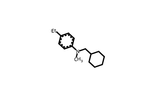 C[CH]c1ccc(N(C)CC2CCCCC2)cc1